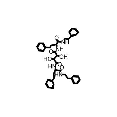 O=C(NCCc1ccccc1)C(CCc1ccccc1)NC(=O)C(O)C(O)C(=O)NC(CCc1ccccc1)C(=O)NCCc1ccccc1